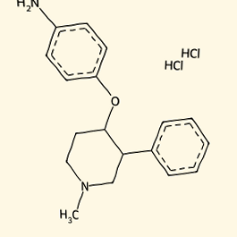 CN1CCC(Oc2ccc(N)cc2)C(c2ccccc2)C1.Cl.Cl